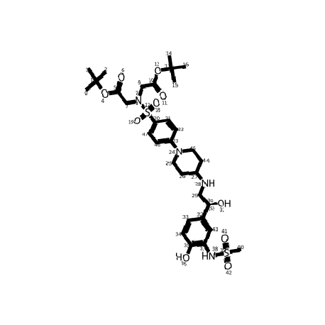 CC(C)(C)OC(=O)CN(CC(=O)OC(C)(C)C)S(=O)(=O)c1ccc(N2CCC(NC[C@@H](O)c3ccc(O)c(NS(C)(=O)=O)c3)CC2)cc1